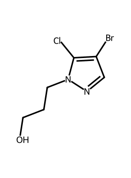 OCCCn1ncc(Br)c1Cl